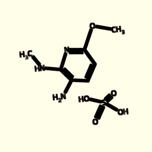 CNc1nc(OC)ccc1N.O=S(=O)(O)O